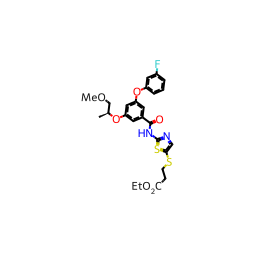 CCOC(=O)CCSc1cnc(NC(=O)c2cc(Oc3cccc(F)c3)cc(O[C@@H](C)COC)c2)s1